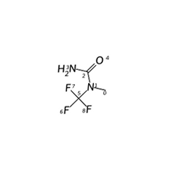 CN(C(N)=O)C(F)(F)F